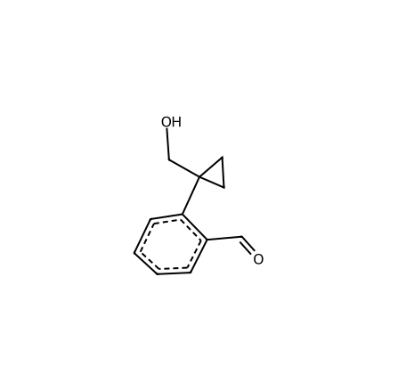 O=Cc1ccccc1C1(CO)CC1